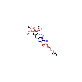 COCCOCC(=O)Nc1ncc(Cc2cc(OC)c(OC)c(OC)c2)c(N)n1